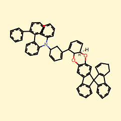 C1=CC(N(c2ccccc2)c2ccccc2-c2ccccc2-c2ccccc2)CC(C2=CC=C[C@H]3Oc4cc5c(cc4OC23)-c2ccccc2C52C3=C(CCC=C3)c3ccccc32)=C1